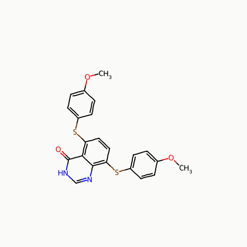 COc1ccc(Sc2ccc(Sc3ccc(OC)cc3)c3c(=O)[nH]cnc23)cc1